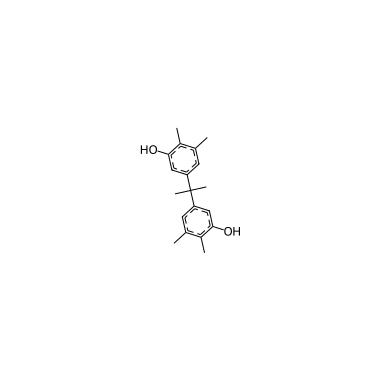 Cc1cc(C(C)(C)c2cc(C)c(C)c(O)c2)cc(O)c1C